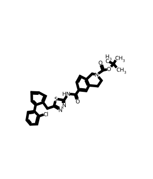 CC(C)(C)OC(=O)N1CCc2cc(C(=O)Nc3nnc(Cc4ccccc4-c4ccccc4Cl)s3)ccc2C1